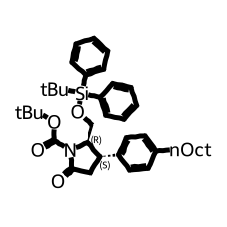 CCCCCCCCc1ccc([C@@H]2CC(=O)N(C(=O)OC(C)(C)C)[C@H]2CO[Si](c2ccccc2)(c2ccccc2)C(C)(C)C)cc1